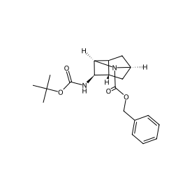 CC(C)(C)OC(=O)N[C@H]1[C@H]2C3C[C@@H](C[C@@H]31)N2C(=O)OCc1ccccc1